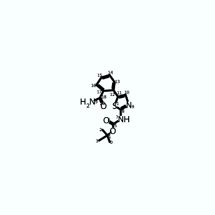 CC(C)(C)OC(=O)Nc1ncc(-c2ccccc2C(N)=O)s1